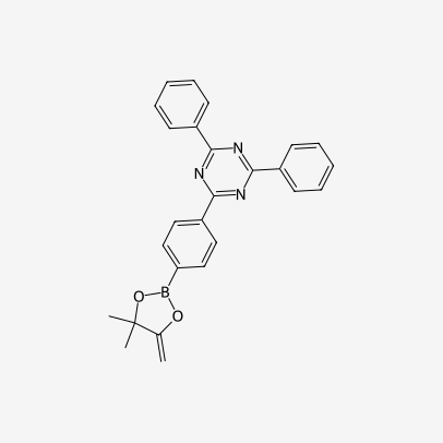 C=C1OB(c2ccc(-c3nc(-c4ccccc4)nc(-c4ccccc4)n3)cc2)OC1(C)C